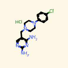 Cl.Nc1ncc(CN2CCN(c3ccc(Cl)cc3)CC2)c(N)n1